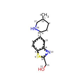 C[C@H]1CC[C@H](c2ccc3sc(CO)nc3c2)NC1